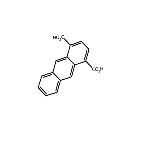 O=C(O)c1ccc(C(=O)O)c2cc3ccccc3cc12